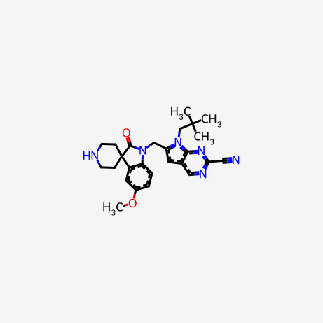 COc1ccc2c(c1)C1(CCNCC1)C(=O)N2Cc1cc2cnc(C#N)nc2n1CC(C)(C)C